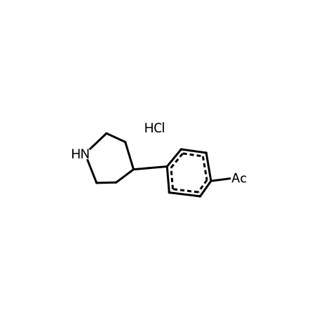 CC(=O)c1ccc(C2CCNCC2)cc1.Cl